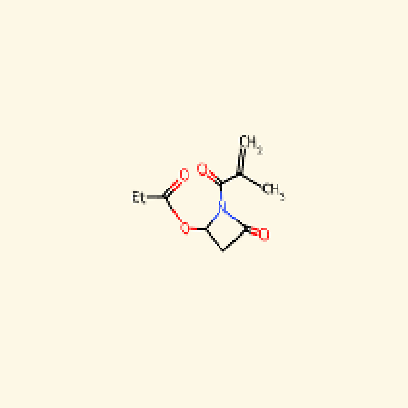 C=C(C)C(=O)N1C(=O)CC1OC(=O)CC